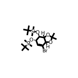 CC1(C)O[C@H]2[C@H](O[Si](C)(C)C(C)(C)C)[C@@H](O[Si](C)(C)C(C)(C)C)C=C(Br)[C@H]2O1